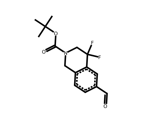 CC(C)(C)OC(=O)N1Cc2ccc(C=O)cc2C(F)(F)C1